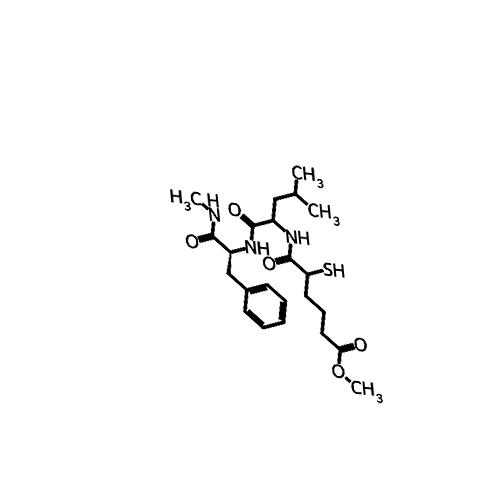 CNC(=O)[C@H](Cc1ccccc1)NC(=O)C(CC(C)C)NC(=O)C(S)CCCC(=O)OC